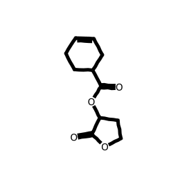 O=C(OC1CCOC1=O)C1CC=CCC1